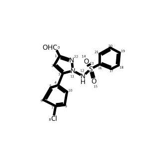 O=Cc1cc(-c2ccc(Cl)cc2)n(NS(=O)(=O)c2ccccc2)n1